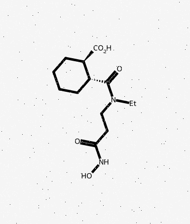 CCN(CCC(=O)NO)C(=O)[C@@H]1CCCC[C@H]1C(=O)O